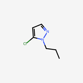 CCCn1nccc1Cl